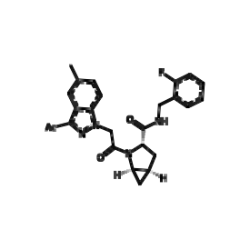 CC(=O)c1nn(CC(=O)N2[C@@H]3C[C@@H]3C[C@H]2C(=O)NCc2ccccc2F)c2ccc(C)cc12